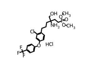 COP(=O)(CCC(N)(CO)CCCc1ccc(Oc2ccc(C(F)(F)F)cc2)cc1Cl)OC.Cl